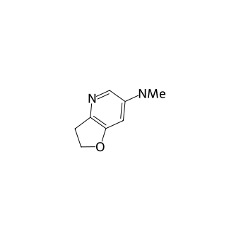 CNc1cnc2c(c1)OCC2